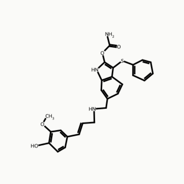 COc1cc(C=CCNCc2ccc3c(Sc4ccccc4)c(OC(N)=O)[nH]c3c2)ccc1O